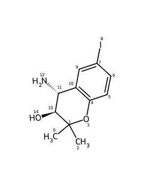 CC1(C)Oc2ccc(I)cc2[C@@H](N)[C@@H]1O